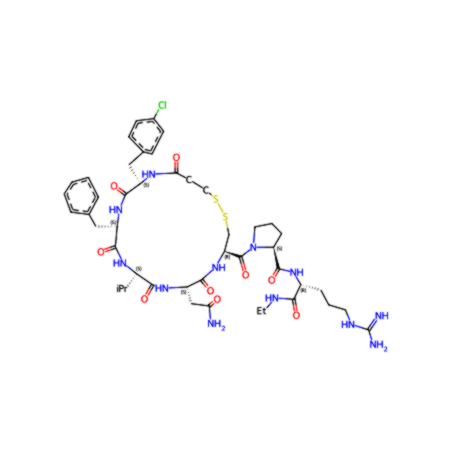 CCNC(=O)[C@@H](CCCNC(=N)N)NC(=O)[C@@H]1CCCN1C(=O)[C@@H]1CSSCCC(=O)N[C@@H](Cc2ccc(Cl)cc2)C(=O)N[C@@H](Cc2ccccc2)C(=O)N[C@@H](C(C)C)C(=O)N[C@@H](CC(N)=O)C(=O)N1